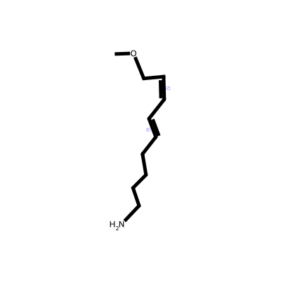 COC/C=C\C=C\CCCCN